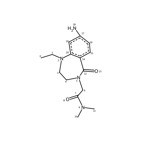 CCN1CCN(CC(=O)N(C)C)C(=O)c2ccc(N)cc21